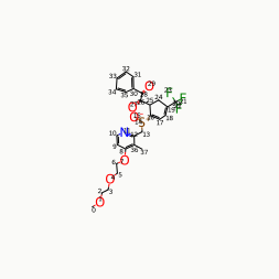 COCCOCCOc1ccnc(C[S+]([O-])C2=CC=C(C(F)(F)F)CC2C(=O)C(=O)c2ccccc2)c1C